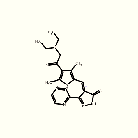 CCN(CC)CC(=O)c1c(C)[nH]c(/C=C2/C(=O)NN=C2c2cnccn2)c1C